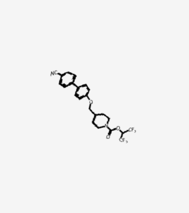 N#Cc1ccc(-c2ccc(OCC3CCN(C(=O)OC(C(F)(F)F)C(F)(F)F)CC3)cc2)cc1